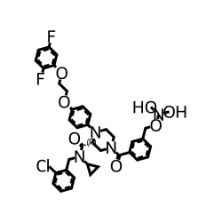 O=C(c1cccc(CON(O)O)c1)N1CCN(c2ccc(OCCOc3cc(F)ccc3F)cc2)[C@@H](C(=O)N(Cc2ccccc2Cl)C2CC2)C1